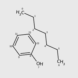 CCCCCCC.Oc1ccccc1